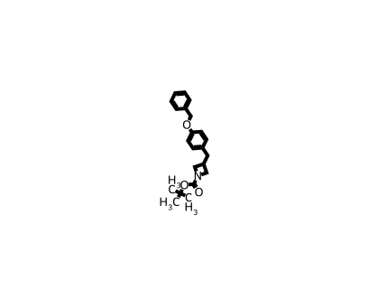 CC(C)(C)OC(=O)N1CC(Cc2ccc(OCc3ccccc3)cc2)C1